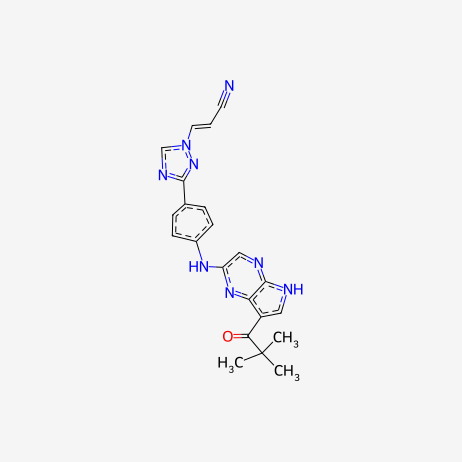 CC(C)(C)C(=O)c1c[nH]c2ncc(Nc3ccc(-c4ncn(C=CC#N)n4)cc3)nc12